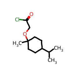 CC(C)C1CCC(C)(OCC(=O)Cl)CC1